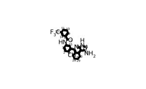 Cc1ccc(NC(=O)c2cccc(C(F)(F)F)c2)cc1-c1nc2[nH]nc(N)c2c2c1CCCC2